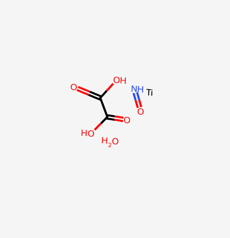 N=O.O.O=C(O)C(=O)O.[Ti]